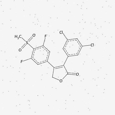 CS(=O)(=O)c1c(F)cc(C2=C(c3cc(Cl)cc(Cl)c3)C(=O)OC2)cc1F